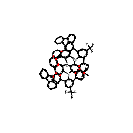 CC(C)(C)c1cc2c3c(c1)N(c1c(-c4ccccc4)cc(C(F)(F)F)cc1-c1ccccc1)c1cc(-n4c5ccccc5c5ccccc54)cc(-c4ccccc4)c1B3c1c(-c3ccccc3)cc(-n3c4ccccc4c4ccccc43)cc1N2c1c(-c2ccccc2)cc(C(F)(F)F)cc1-c1ccccc1